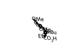 CCCCOc1cc(C=C(OCC)C(=O)O)ccc1OCCc1ccc(OCOCCOC)cc1OC